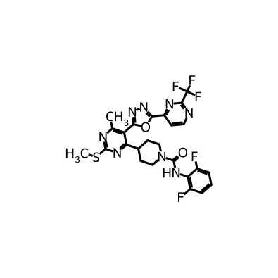 CSc1nc(C)c(-c2nnc(-c3ccnc(C(F)(F)F)n3)o2)c(C2CCN(C(=O)Nc3c(F)cccc3F)CC2)n1